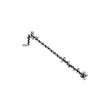 CCCCCCCCCCCCCCCC(C)C(=O)OC(CC(=O)NCCOCCOCCOCCOCCOCCOCCOCCOCCNC(=O)CCCCCNC(=O)CCCCCNC(=O)CCCC[C@@H]1SC[C@@H]2NC(=O)N[C@@H]21)C[N+](C)(C)C